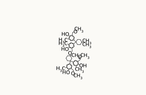 COCc1cc(C2(c3cc(C)c(O)c(COC4(C)CCCC(c5cc(C)c(O)c(COC)c5)(c5cc(C)c(O)c(COC)c5)C4)c3)CCC(C)(C)CC2)cc(C)c1O